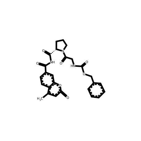 Cc1cc(=O)oc2cc(C(=O)NC(=O)[C@@H]3CCCN3C(=O)CNC(=O)OCc3ccccc3)ccc12